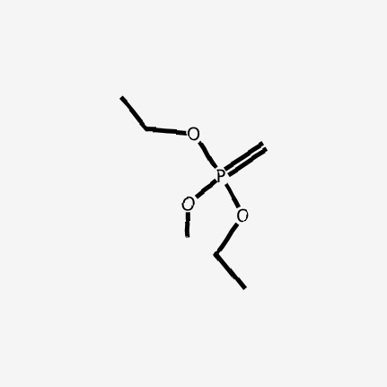 C=P(OC)(OCC)OCC